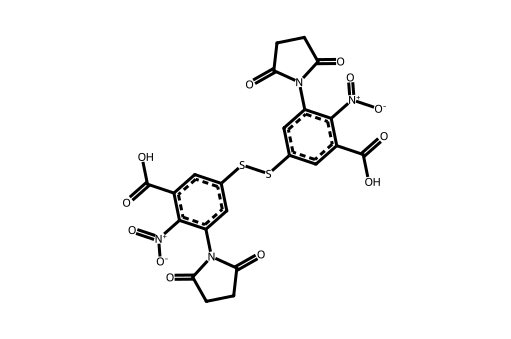 O=C(O)c1cc(SSc2cc(C(=O)O)c([N+](=O)[O-])c(N3C(=O)CCC3=O)c2)cc(N2C(=O)CCC2=O)c1[N+](=O)[O-]